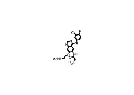 C=CC(=O)Nc1cc2c(Nc3ccc(F)c(Cl)c3)ncnc2cc1OCCNC(C)=O